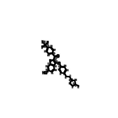 C[C@H]1CCN(CCc2ccc(Oc3c(C(=O)c4ccc(C(F)(F)F)cc4)sc4cc(O)ccc34)cc2)C1